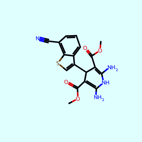 COC(=O)C1=C(N)NC(N)=C(C(=O)OC)C1c1csc2c(C#N)cccc12